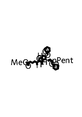 CCCCC[C@@H](/C=C/[C@@H]1[C@H]2C(F)C(C(I)CCCC(=O)OC)O[C@H]2C[C@H]1OC1CCCCO1)OC1CCCCO1